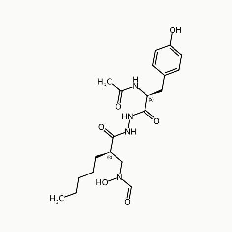 CCCCC[C@H](CN(O)C=O)C(=O)NNC(=O)[C@H](Cc1ccc(O)cc1)NC(C)=O